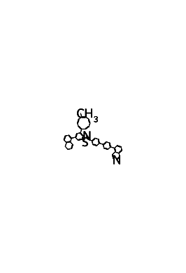 Cc1cccccc(-c2cc(-c3cccc4c3C=CCC4)cc3sc(-c4ccc(-c5ccc(-c6cccc7cnccc67)cc5)cc4)nc23)ccc1